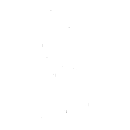 CC(F)(F)OC(F)(F)C(F)(F)C(=O)Nc1cc(Cl)nc(Cl)c1